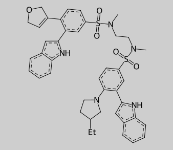 CCC1CCN(c2ccc(S(=O)(=O)N(C)CCN(C)S(=O)(=O)c3ccc(C4=CCOC4)c(-c4cc5ccccc5[nH]4)c3)cc2-c2cc3ccccc3[nH]2)C1